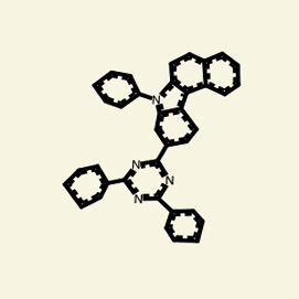 c1ccc(-c2nc(-c3ccccc3)nc(-c3ccc4c5c6ccccc6ccc5n(-c5ccccc5)c4c3)n2)cc1